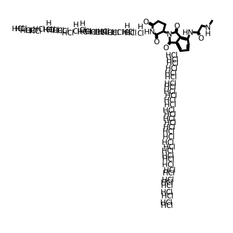 CNCC(=O)Nc1cccc2c1C(=O)N(C1CCC(=O)NC1=O)C2=O.Cl.Cl.Cl.Cl.Cl.Cl.Cl.Cl.Cl.Cl.Cl.Cl.Cl.Cl.Cl.Cl.Cl.Cl.Cl.Cl.Cl.Cl.Cl.Cl.Cl.Cl.Cl.Cl.Cl.Cl.Cl.Cl.Cl.Cl.Cl.Cl.Cl.Cl.Cl.Cl.Cl.Cl.Cl.Cl.Cl.Cl.Cl.Cl.Cl.Cl.Cl.Cl.Cl.Cl.Cl.Cl.Cl.Cl.Cl.Cl.Cl